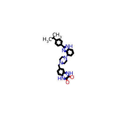 CC(C)c1ccc(-c2nc3c(N4CCN(Cc5ccc6[nH]c(=O)c(=O)[nH]c6c5)CC4)cccc3[nH]2)cc1